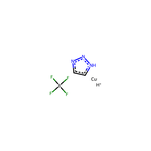 F[B-](F)(F)F.[Cu].[H+].c1c[nH]nn1